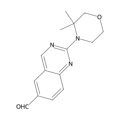 CC1(C)COCCN1c1ncc2cc(C=O)ccc2n1